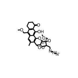 COCc1c2c(c(O)c3c4c(c(C)cc13)C1OC3(CN=[N+]=[N-])OC1[C@@](OC)(O4)[C@@]31CO1)C(=O)CCC2